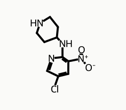 O=[N+]([O-])c1cc(Cl)cnc1NC1CCNCC1